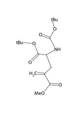 C=C(CC(NC(=O)OC(C)(C)C)C(=O)OC(C)(C)C)C(=O)OC